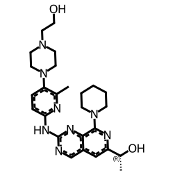 Cc1nc(Nc2ncc3cc([C@@H](C)O)nc(N4CCCCC4)c3n2)ccc1N1CCN(CCO)CC1